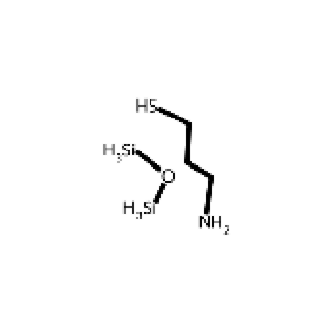 NCCCS.[SiH3]O[SiH3]